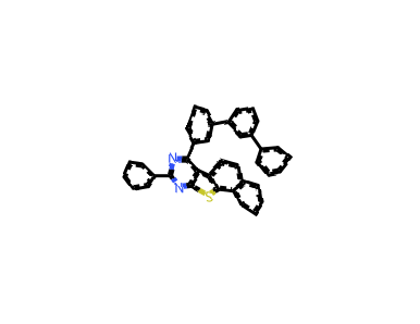 c1ccc(-c2cccc(-c3cccc(-c4nc(-c5ccccc5)nc5sc6c7ccccc7ccc6c45)c3)c2)cc1